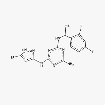 CCc1cc(Nc2nc(N)nc(NC(C)c3ccc(F)cc3F)n2)n[nH]1